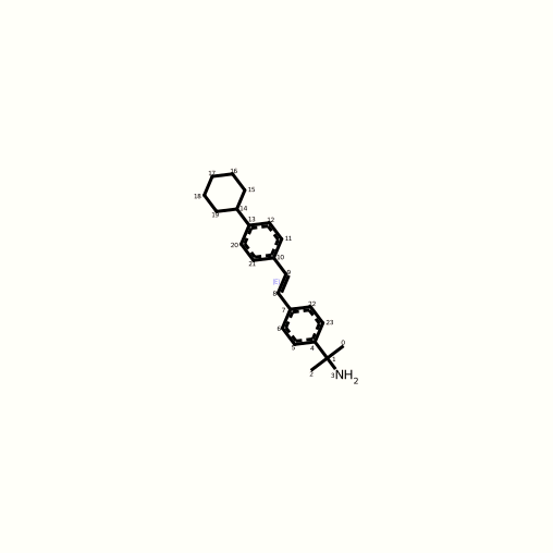 CC(C)(N)c1ccc(/C=C/c2ccc(C3CCCCC3)cc2)cc1